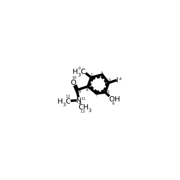 Cc1cc(I)c(O)cc1C(=O)N(C)C